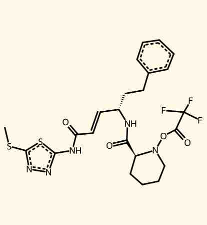 CSc1nnc(NC(=O)/C=C/[C@H](CCc2ccccc2)NC(=O)[C@@H]2CCCCN2OC(=O)C(F)(F)F)s1